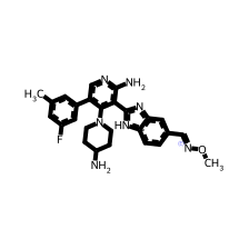 CO/N=C/c1ccc2[nH]c(-c3c(N)ncc(-c4cc(C)cc(F)c4)c3N3CCC(N)CC3)nc2c1